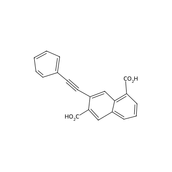 O=C(O)c1cc2cccc(C(=O)O)c2cc1C#Cc1ccccc1